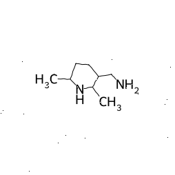 CC1CCC(CN)C(C)N1